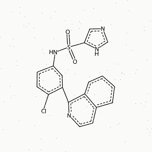 O=S(=O)(Nc1ccc(Cl)c(-c2nccc3ccccc23)c1)c1cnc[nH]1